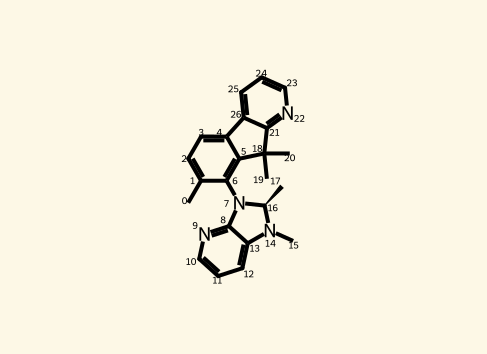 Cc1ccc2c(c1N1c3ncccc3N(C)[C@@H]1C)C(C)(C)c1ncccc1-2